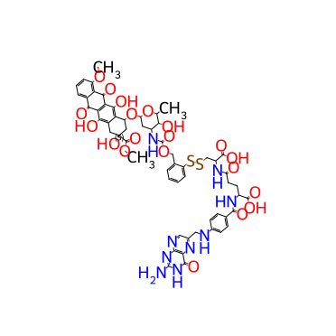 COC(=O)[C@]1(O)Cc2c(O)c3c(c(O)c2C(OC2CC(NC(=O)OCc4ccccc4SSCC(NC(=O)CCC(NC(=O)c4ccc(NCc5cnc6nc(N)[nH]c(=O)c6n5)cc4)C(=O)O)C(=O)O)C(O)C(C)O2)C1)C(=O)c1c(OC)cccc1C3=O